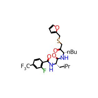 CCCC[C@H](NC(=O)[C@H](CC(C)C)NC(=O)c1ccc(C(F)(F)F)cc1F)C(=O)CSCc1ccco1